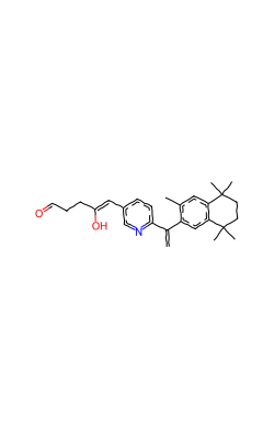 C=C(c1ccc(/C=C(\O)CCC=O)cn1)c1cc2c(cc1C)C(C)(C)CCC2(C)C